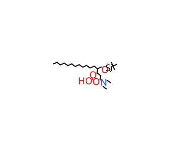 CCCCCCCCCCCCC(CO[Si](C)(C)C(C)(C)C)C(CCN(CC)CC)OC(=O)O